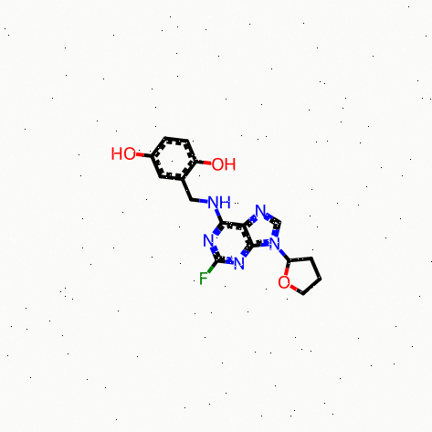 Oc1ccc(O)c(CNc2nc(F)nc3c2ncn3C2CCCO2)c1